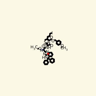 CCO/N=C(\C(=O)N[C@@H]1C(=O)N2C(C(=O)OCc3ccc(OC)cc3)=C(C=CCI)CS[C@@H]12)c1nsc(NC(c2ccccc2)(c2ccccc2)c2ccccc2)n1